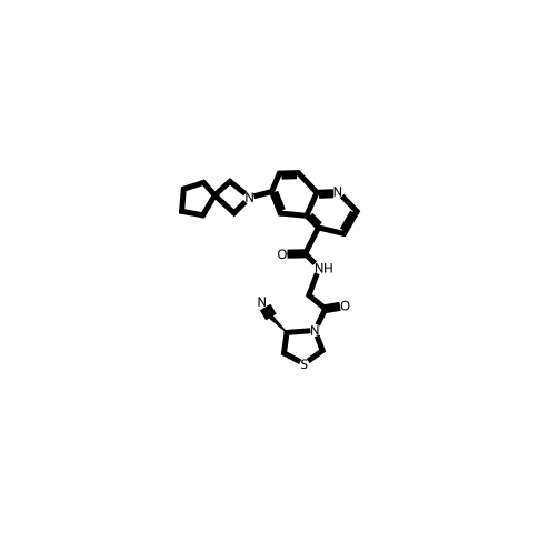 N#C[C@@H]1CSCN1C(=O)CNC(=O)c1ccnc2ccc(N3CC4(CCCC4)C3)cc12